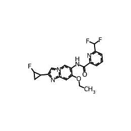 CCOc1cc2nc(C3CC3F)cn2cc1NC(=O)c1cccc(C(F)F)n1